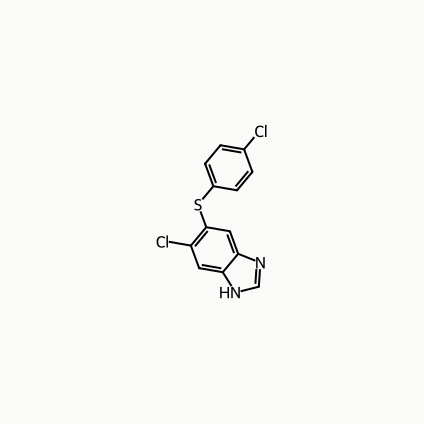 Clc1ccc(Sc2cc3nc[nH]c3cc2Cl)cc1